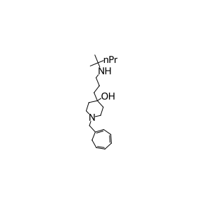 CCCC(C)(C)NCCCC1(O)CCN(CC2=CC=CC=CC2)CC1